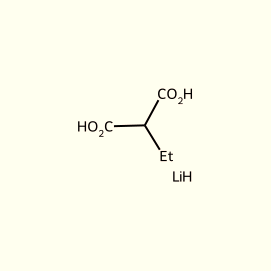 CCC(C(=O)O)C(=O)O.[LiH]